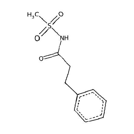 CS(=O)(=O)NC(=O)CCc1ccccc1